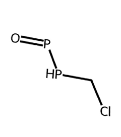 O=PPCCl